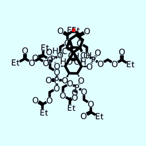 CCC(=O)OCOP(=O)(OCOC(=O)CC)O[C@@H]1[C@@H](OP(=O)(OCOC(=O)CC)OCOC(=O)CC)[C@H](OP(=O)(OCOC(=O)CC)OCOC(=O)CC)[C@]2(O)C3(CC4CCC3(C)C4(C)C)[C@]2(O)[C@H]1OP(=O)(OCOC(=O)CC)OCOC(=O)CC